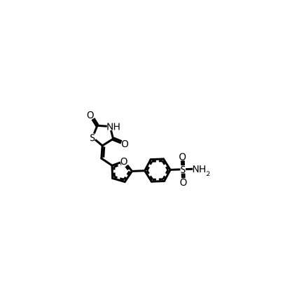 NS(=O)(=O)c1ccc(-c2ccc(C=C3SC(=O)NC3=O)o2)cc1